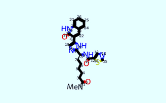 CNC(=O)CCCCC[C@H](NC(=O)c1cncs1)c1ncc(-c2cc3ccccc3[nH]c2=O)[nH]1